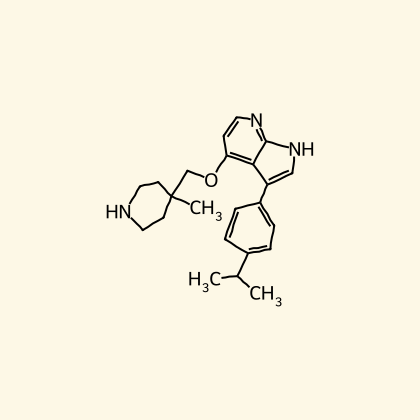 CC(C)c1ccc(-c2c[nH]c3nccc(OCC4(C)CCNCC4)c23)cc1